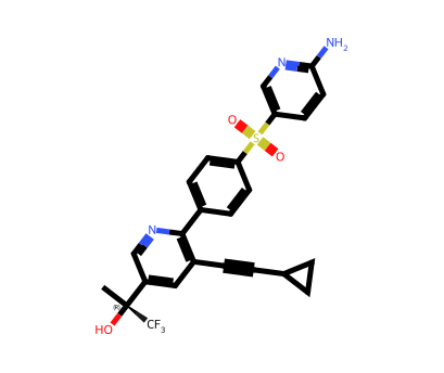 C[C@@](O)(c1cnc(-c2ccc(S(=O)(=O)c3ccc(N)nc3)cc2)c(C#CC2CC2)c1)C(F)(F)F